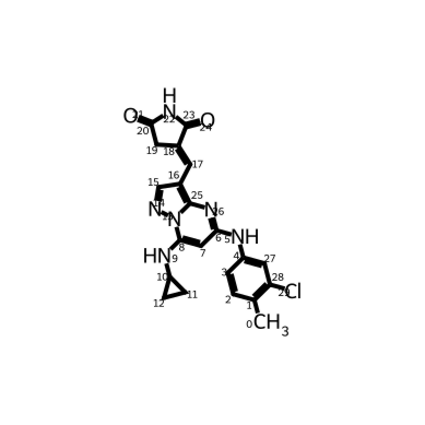 Cc1ccc(Nc2cc(NC3CC3)n3ncc(C=C4CC(=O)NC4=O)c3n2)cc1Cl